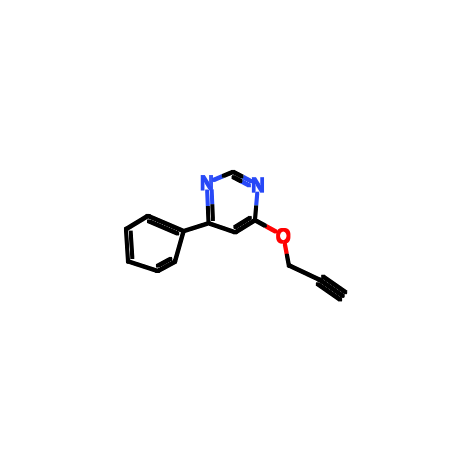 C#CCOc1cc(-c2ccccc2)ncn1